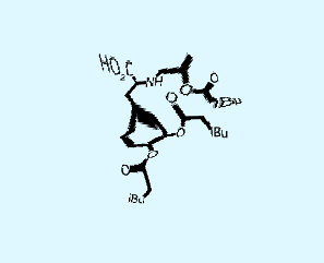 CCC(C)CC(=O)Oc1ccc(C[C@H](NCC(C)OC(=O)C(C)CC)C(=O)O)cc1OC(=O)CC(C)CC